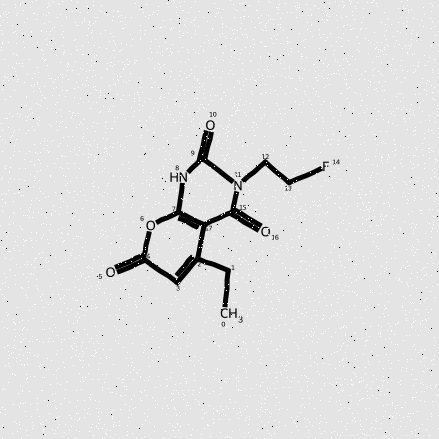 CCc1cc(=O)oc2[nH]c(=O)n(CCF)c(=O)c12